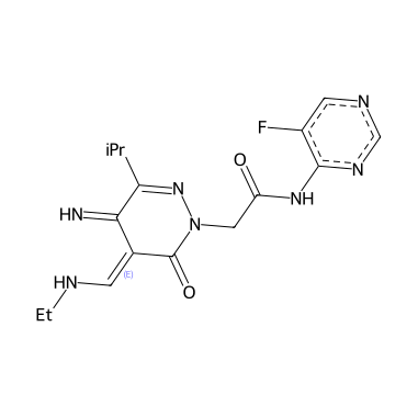 CCN/C=C1\C(=N)C(C(C)C)=NN(CC(=O)Nc2ncncc2F)C1=O